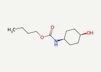 CCCCOC(=O)N[C@H]1CC[C@@H](O)CC1